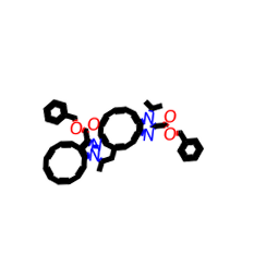 CC(CC1=C/C=c2/nc(C(=O)OCc3ccccc3)n(C(C)C)/c2=C/C=C\C=C/C=C\1)n1nc(C(=O)OCc2ccccc2)c2c1\C=C/C=C\C=C/C=C\C=C/2